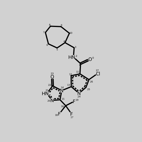 O=C(NCC1CCCCCC1)c1cc(-n2c(C(F)(F)F)n[nH]c2=O)ncc1Cl